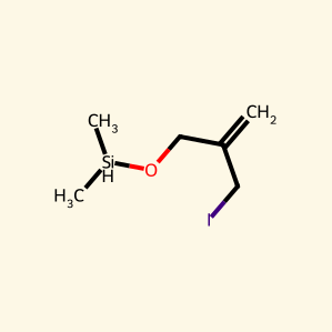 C=C(CI)CO[SiH](C)C